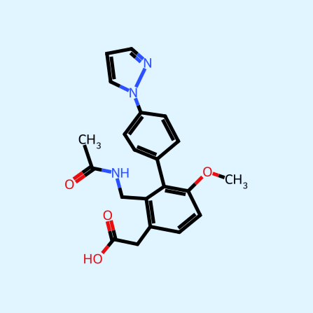 COc1ccc(CC(=O)O)c(CNC(C)=O)c1-c1ccc(-n2cccn2)cc1